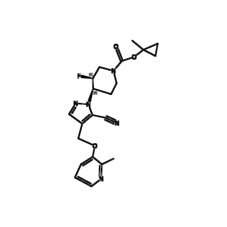 Cc1ncccc1OCc1cnn([C@@H]2CCN(C(=O)OC3(C)CC3)C[C@@H]2F)c1C#N